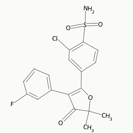 CC1(C)OC(c2ccc(S(N)(=O)=O)c(Cl)c2)=C(c2cccc(F)c2)C1=O